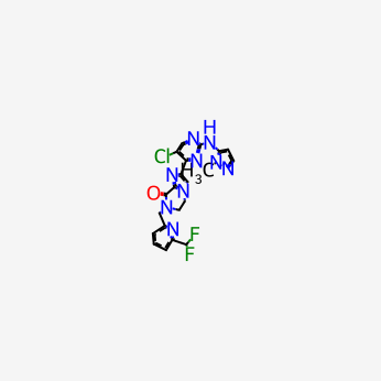 Cn1nccc1Nc1ncc(Cl)c(-c2cn3c(n2)C(=O)N(Cc2cccc(C(F)F)n2)CC3)n1